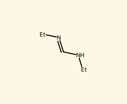 CC/N=[C]/NCC